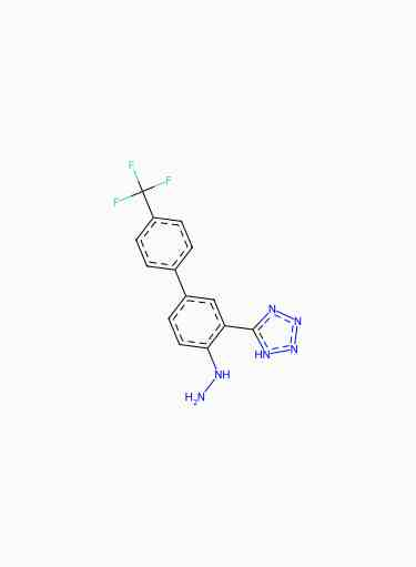 NNc1ccc(-c2ccc(C(F)(F)F)cc2)cc1-c1nnn[nH]1